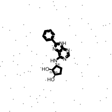 O[C@@H]1[C@H](O)[CH]C[C@H]1Nc1ncnc2[nH]c(-c3ccccc3)nc12